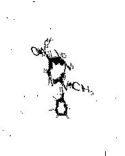 CN(c1ccccc1)c1ncc([N+](=O)[O-])cn1